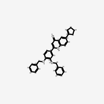 O=c1cc(-c2ccc(OCc3ccccc3)c(OCc3ccccc3)c2)oc2ccc(C3=CCCC3)cc12